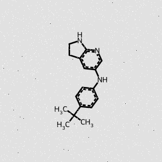 CC(C)(C)c1ccc(Nc2cnc3c(c2)CCN3)cc1